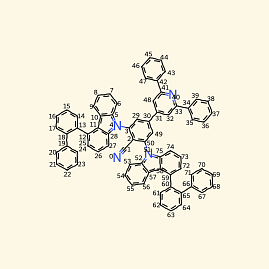 N#Cc1c(-n2c3ccccc3c3c(-c4ccccc4-c4ccccc4)cccc32)cc(-c2cc(-c3ccccc3)nc(-c3ccccc3)c2)cc1-n1c2ccccc2c2c(-c3ccccc3-c3ccccc3)cccc21